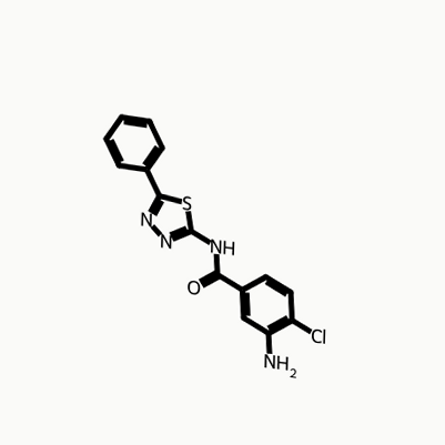 Nc1cc(C(=O)Nc2nnc(-c3ccccc3)s2)ccc1Cl